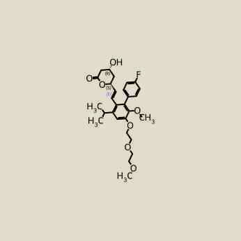 COCCOCCOc1cc(C(C)C)c(/C=C/[C@@H]2C[C@@H](O)CC(=O)O2)c(-c2ccc(F)cc2)c1OC